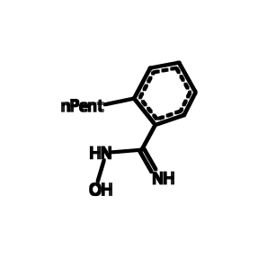 CCCCCc1ccccc1C(=N)NO